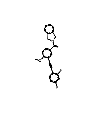 COc1ccc(C(=O)N2Cc3ccccc3C2)cc1C#Cc1ccc(F)cc1F